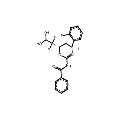 O=C(NC1=N[C@](I)(c2ccccc2F)C[C@@H](C(F)(F)C(O)O)O1)c1ccccc1